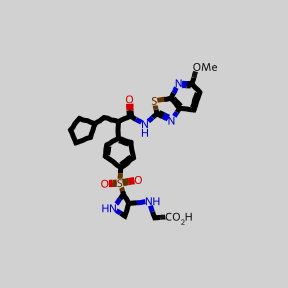 COc1ccc2nc(NC(=O)C(CC3CCCC3)c3ccc(S(=O)(=O)C4NCC4NCC(=O)O)cc3)sc2n1